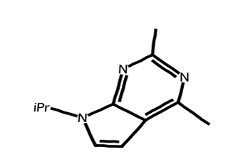 Cc1nc(C)c2ccn(C(C)C)c2n1